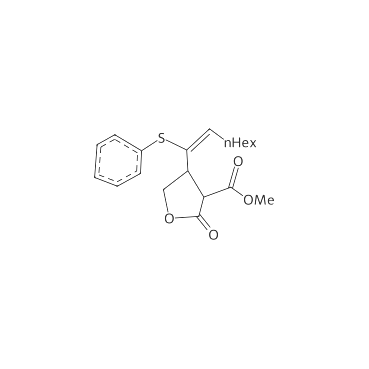 CCCCCC/C=C(/Sc1ccccc1)C1COC(=O)C1C(=O)OC